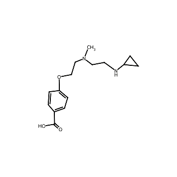 CN(CCNC1CC1)CCOc1ccc(C(=O)O)cc1